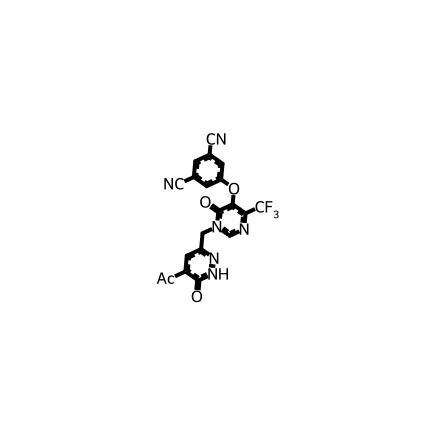 CC(=O)c1cc(Cn2cnc(C(F)(F)F)c(Oc3cc(C#N)cc(C#N)c3)c2=O)n[nH]c1=O